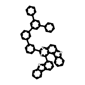 c1ccc(-c2cc(-c3ccccc3)cc(-c3cccc(-c4cccc(-c5nc(-c6cccc7c6oc6ccccc67)c6c(ccc7oc8ccccc8c76)n5)c4)c3)c2)cc1